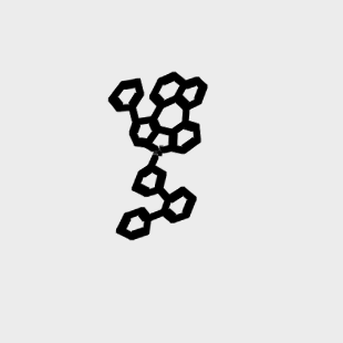 c1ccc(-c2ccccc2-c2cccc(-n3c4cccc5c4c4c(c(-c6ccccc6)ccc43)-c3cccc4cccc-5c34)c2)cc1